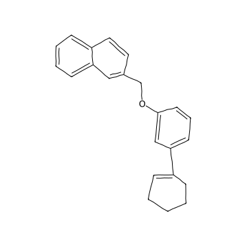 C1=C(c2cccc(OCc3ccc4ccccc4c3)c2)CCCC1